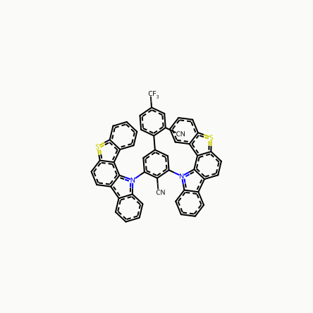 N#Cc1cc(C(F)(F)F)ccc1-c1cc(-n2c3ccccc3c3ccc4sc5ccccc5c4c32)c(C#N)c(-n2c3ccccc3c3ccc4sc5ccccc5c4c32)c1